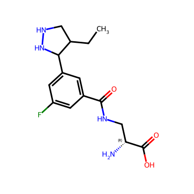 CCC1CNNC1c1cc(F)cc(C(=O)NC[C@@H](N)C(=O)O)c1